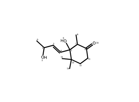 CC(O)C=CC1(O)C(C)C(=O)CCC1(C)C